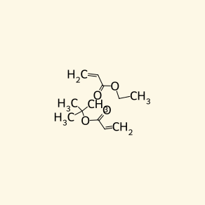 C=CC(=O)OC(C)(C)C.C=CC(=O)OCC